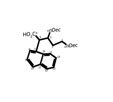 CCCCCCCCCCCCC(CCCCCCCCCC)C(C(=O)O)c1cccc2ccccc12